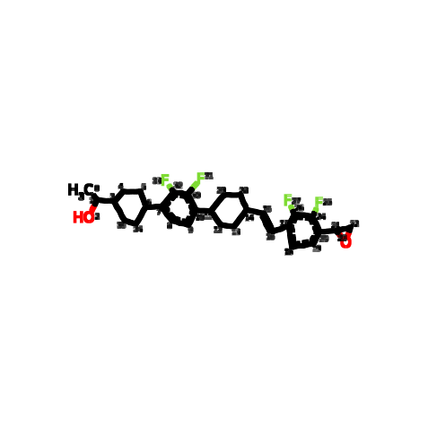 CC(O)C1CCC(c2ccc(C3CCC(/C=C/c4ccc(C5CO5)c(F)c4F)CC3)c(F)c2F)CC1